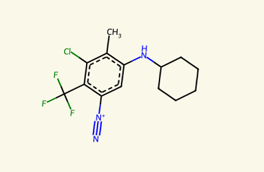 Cc1c(NC2CCCCC2)cc([N+]#N)c(C(F)(F)F)c1Cl